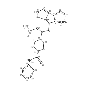 NC(=O)OC(CC1c2ccccc2C2=CNCN21)C1CCN(C(=O)Nc2ccccc2)CC1